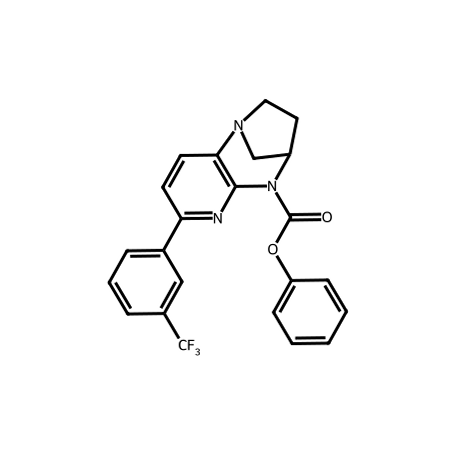 O=C(Oc1ccccc1)N1c2nc(-c3cccc(C(F)(F)F)c3)ccc2N2CCC1C2